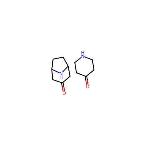 O=C1CC2CCC(C1)N2.O=C1CCNCC1